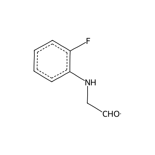 O=[C]CNc1ccccc1F